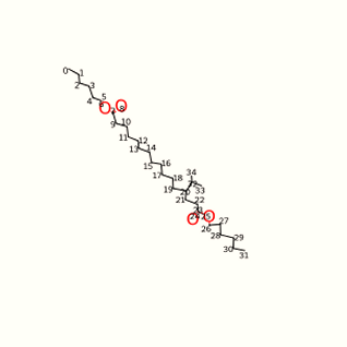 CCCCCCOC(=O)CCCCCCCCCCCC(CCC(=O)OCCCCCC)C(C)C